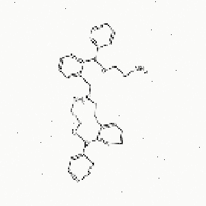 NCCOB(c1ccccc1)c1ccccc1CCOCc1ccccc1B(OCCN)c1ccccc1